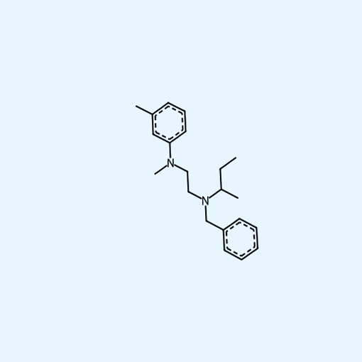 CCC(C)N(CCN(C)c1cccc(C)c1)Cc1ccccc1